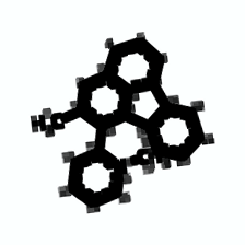 Cc1cc2cccc3c2c(c1-c1cccc[n+]1C)-c1ccccc1-3